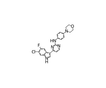 Fc1cc2c(-c3ccnc(Nc4ccc(N5CCOCC5)cc4)n3)c[nH]c2cc1Cl